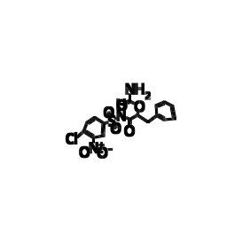 NC(=O)OC(Cc1ccccc1)C(=O)NS(=O)(=O)c1ccc(Cl)c([N+](=O)[O-])c1